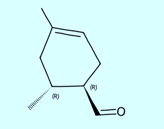 CC1=CC[C@@H](C=O)[C@H](C)C1